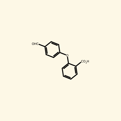 O=Cc1ccc(Oc2ccccc2C(=O)O)cc1